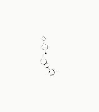 Cc1ccc(F)c(-c2nc3c(s2)CN(CC(=O)N2CCN(C4CCC4)CC2)CC3)c1